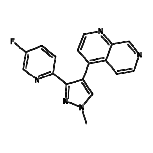 Cn1cc(-c2ccnc3cnccc23)c(-c2ccc(F)cn2)n1